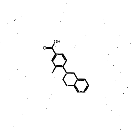 Cc1cc(C(=O)O)ccc1C1CCc2ccccc2C1